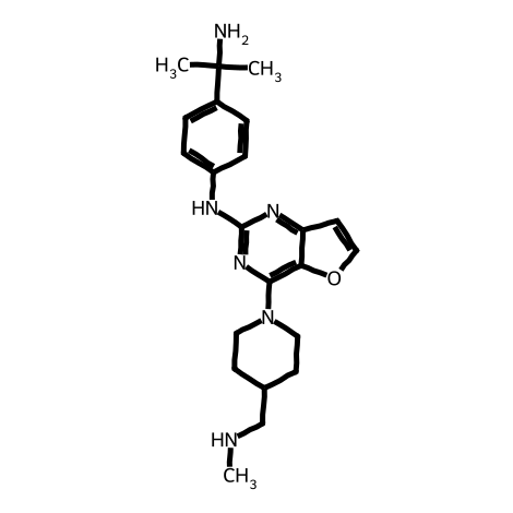 CNCC1CCN(c2nc(Nc3ccc(C(C)(C)N)cc3)nc3ccoc23)CC1